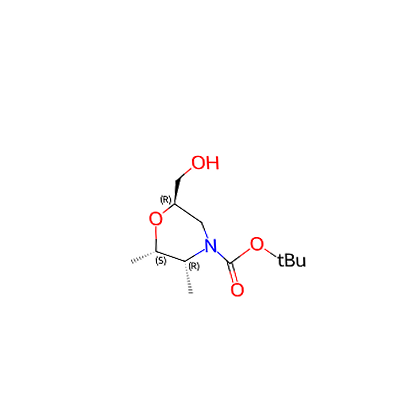 C[C@@H]1O[C@@H](CO)CN(C(=O)OC(C)(C)C)[C@@H]1C